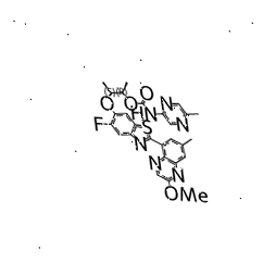 COc1cnc2c(-c3nc4cc(F)c(O[C@@H](C)[C@@H](C)OC(=O)Nc5cnc(C)cn5)cc4s3)cc(C)cc2n1